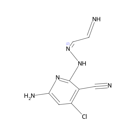 N#Cc1c(Cl)cc(N)nc1N/N=C\C=N